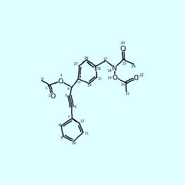 CC(=O)OC(C#Cc1ccccc1)c1ccc(CN(OC(C)=O)C(C)=O)cc1